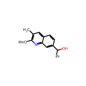 COc1nc2cc(C(O)C(C)C)ccc2cc1C